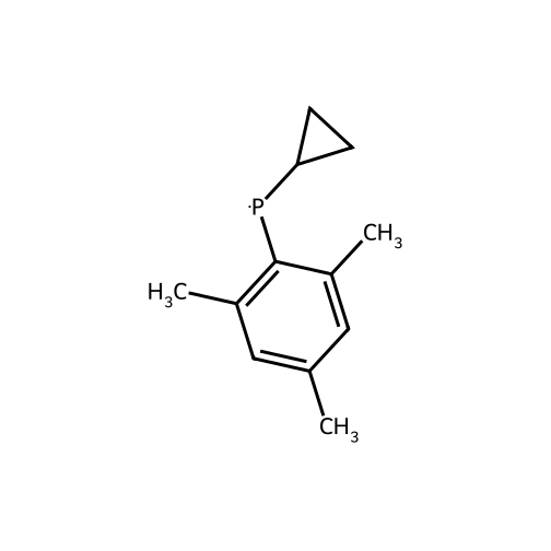 Cc1cc(C)c([P]C2CC2)c(C)c1